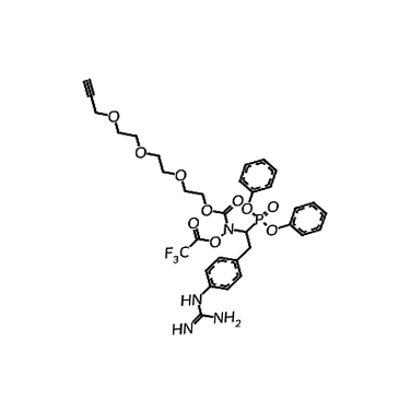 C#CCOCCOCCOCCOC(=O)N(OC(=O)C(F)(F)F)C(Cc1ccc(NC(=N)N)cc1)P(=O)(Oc1ccccc1)Oc1ccccc1